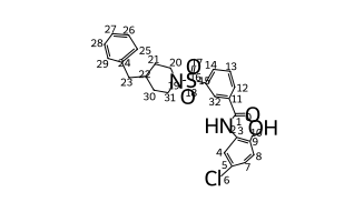 O=C(Nc1cc(Cl)ccc1O)c1cccc(S(=O)(=O)N2CCC(Cc3ccccc3)CC2)c1